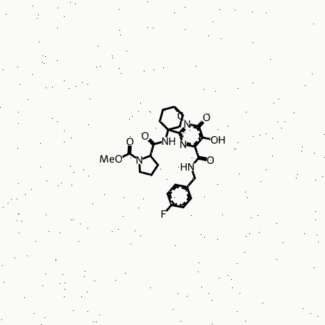 COC(=O)N1CCCC1C(=O)NC12CCC(CC1)Cn1c2nc(C(=O)NCc2ccc(F)cc2)c(O)c1=O